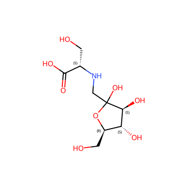 O=C(O)[C@H](CO)NCC1(O)O[C@H](CO)[C@@H](O)[C@@H]1O